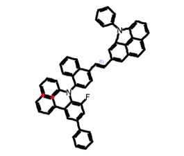 Fc1cc(-c2ccccc2)cc(-c2ccccc2)c1N(c1ccccc1)c1ccc(/C=C/c2cc3ccc4cccc5c4c3c(c2)n5-c2ccccc2)c2ccccc12